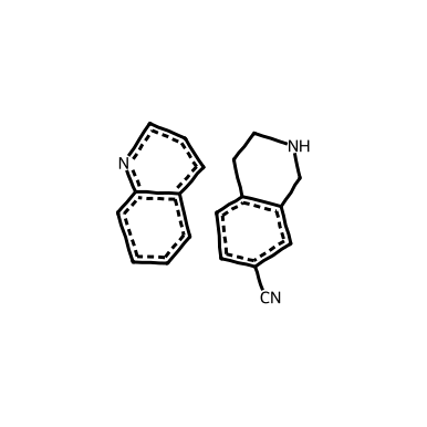 N#Cc1ccc2c(c1)CNCC2.c1ccc2ncccc2c1